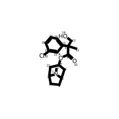 CN1C2CCC1CC(OC(=O)C(C)(CO)c1cccc(Cl)c1)C2